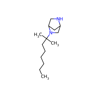 CCCCCCC(C)(C)N1CC2CC1CN2